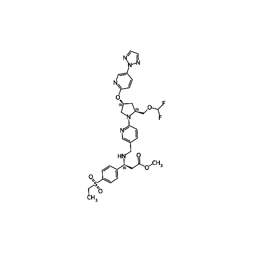 CCS(=O)(=O)c1ccc([C@H](CC(=O)OC)NCc2ccc(N3C[C@@H](Oc4ccc(-n5nccn5)cn4)C[C@H]3COC(F)F)nc2)cc1